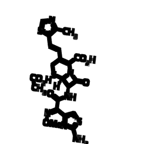 CC(=O)O.CO/N=C(/C(=O)N[C@@H]1C(=O)N2C(C(=O)O)=C(/C=C/c3scnc3C)CS[C@H]12)c1csc(N)n1